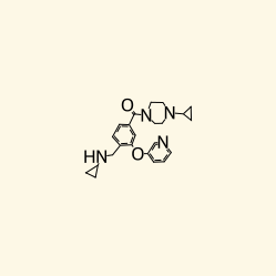 O=C(c1ccc(CNC2CC2)c(Oc2cccnc2)c1)N1CCN(C2CC2)CC1